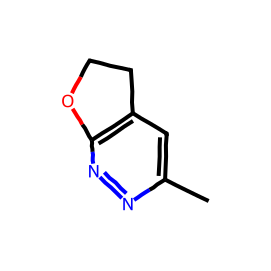 Cc1cc2c(nn1)OCC2